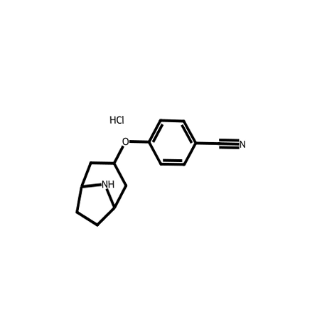 Cl.N#Cc1ccc(OC2CC3CCC(C2)N3)cc1